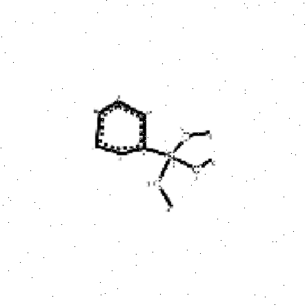 CO[Si](OC)(OC)c1cc[c]cc1